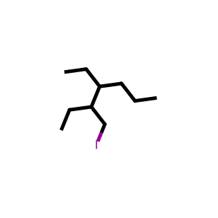 CCCC(CC)C(CC)CI